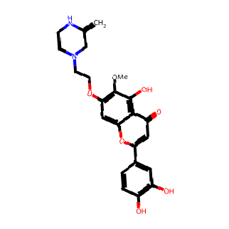 C=C1CN(CCOc2cc3oc(-c4ccc(O)c(O)c4)cc(=O)c3c(O)c2OC)CCN1